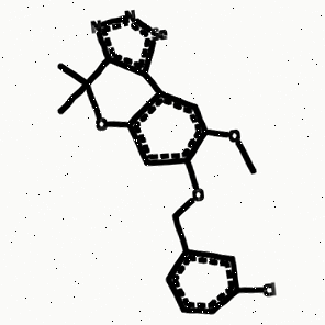 COc1cc2c(cc1OCc1cccc(Cl)c1)OC(C)(C)c1nn[se]c1-2